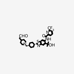 CC(C)(O)c1cc2nc([C@H]3CC[C@H](CN4CCC(CC=O)CC4)CC3)sc2cc1NC(=O)c1cccc(C(F)(F)F)n1